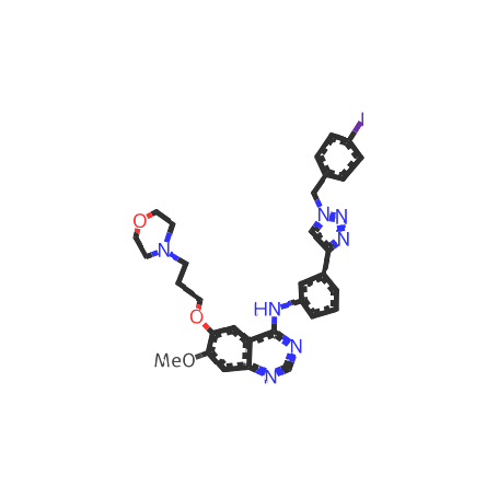 COc1cc2ncnc(Nc3cccc(-c4cn(Cc5ccc(I)cc5)nn4)c3)c2cc1OCCCN1CCOCC1